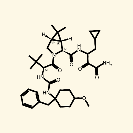 COC1CCC(Cc2ccccc2)(NC(=O)N[C@H](C(=O)N2C[C@H]3[C@@H]([C@H]2C(=O)NC(CC2CC2)C(=O)C(N)=O)C3(C)C)C(C)(C)C)CC1